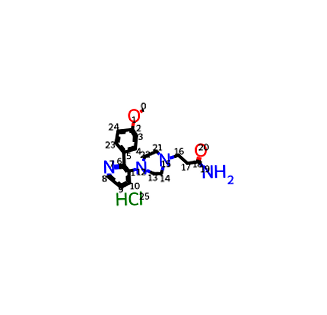 COc1ccc(-c2ncccc2N2CCN(CCC(N)=O)CC2)cc1.Cl